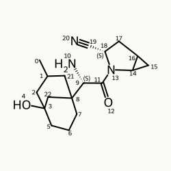 CC1CC2(O)CCCC([C@H](N)C(=O)N3C4CC4C[C@H]3C#N)(C1)C2